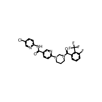 O=C(Nc1ccc(Cl)cn1)c1ccc(N2CCCN(C(=O)c3cccc(F)c3C(F)(F)F)C2)nc1